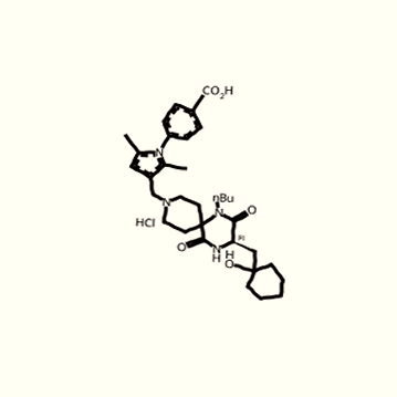 CCCCN1C(=O)[C@@H](CC2(O)CCCCC2)NC(=O)C12CCN(Cc1cc(C)n(-c3ccc(C(=O)O)cc3)c1C)CC2.Cl